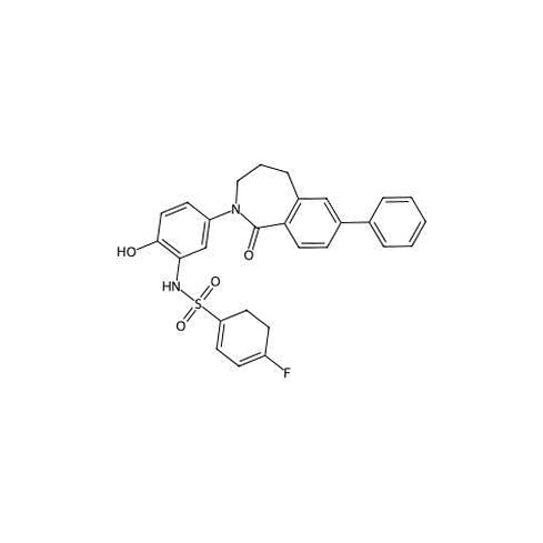 O=C1c2ccc(-c3ccccc3)cc2CCCN1c1ccc(O)c(NS(=O)(=O)C2=CC=C(F)CC2)c1